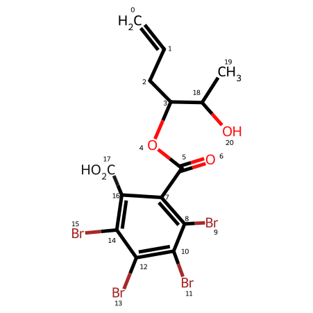 C=CCC(OC(=O)c1c(Br)c(Br)c(Br)c(Br)c1C(=O)O)C(C)O